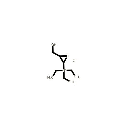 CC[N+](CC)(CC)C1OC1CO.[Cl-]